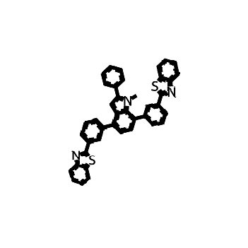 Cn1c(-c2ccccc2)cc2c(-c3cccc(-c4nc5ccccc5s4)c3)ccc(-c3cccc(-c4nc5ccccc5s4)c3)c21